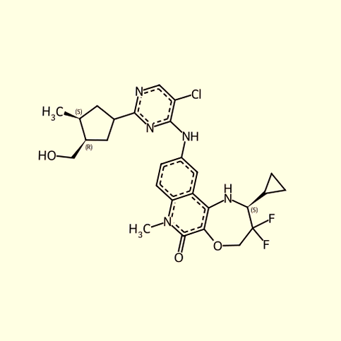 C[C@H]1CC(c2ncc(Cl)c(Nc3ccc4c(c3)c3c(c(=O)n4C)OCC(F)(F)[C@H](C4CC4)N3)n2)C[C@H]1CO